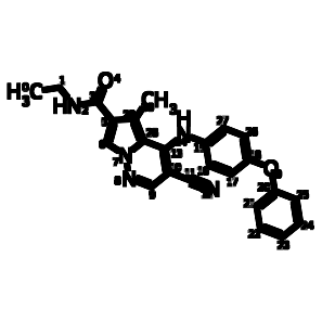 CCNC(=O)c1cn2ncc(C#N)c(Nc3ccc(Oc4ccccc4)cc3)c2c1C